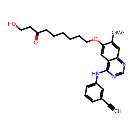 C#Cc1cccc(Nc2ncnc3cc(OC)c(OCCCCCCC(=O)CCO)cc23)c1